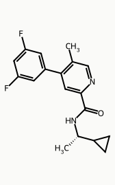 Cc1cnc(C(=O)N[C@@H](C)C2CC2)cc1-c1cc(F)cc(F)c1